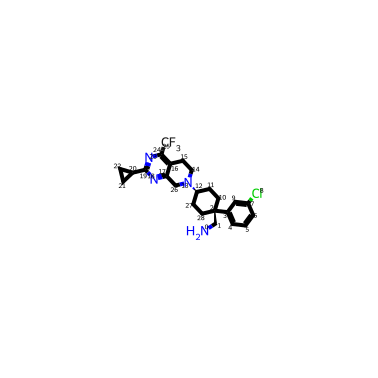 NC[C@]1(c2cccc(Cl)c2)CC[C@@H](N2CCc3c(nc(C4CC4)nc3C(F)(F)F)C2)CC1